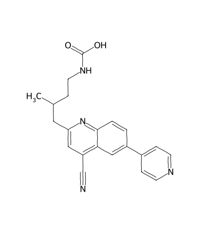 CC(CCNC(=O)O)Cc1cc(C#N)c2cc(-c3ccncc3)ccc2n1